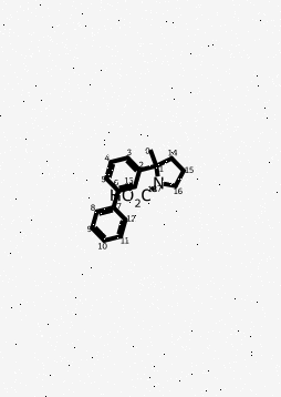 CC1(c2cccc(-c3ccccc3)c2)CCCN1C(=O)O